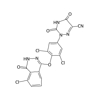 N#Cc1nn(-c2cc(Cl)c(Oc3n[nH]c(=O)c4c(Cl)cccc34)c(Cl)c2)c(=O)[nH]c1=O